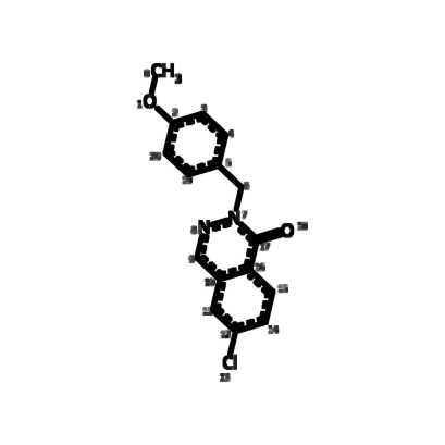 COc1ccc(Cn2ncc3cc(Cl)ccc3c2=O)cc1